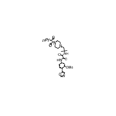 CCCS(=O)(=O)N1CCN(CC(C)(C)NC(=O)C(=O)Nc2ccc(-c3cnco3)c(OC)c2)CC1